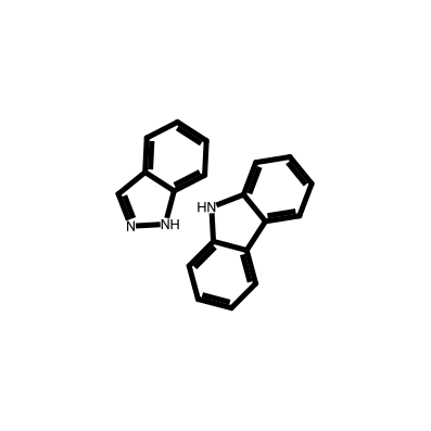 c1ccc2[nH]ncc2c1.c1ccc2c(c1)[nH]c1ccccc12